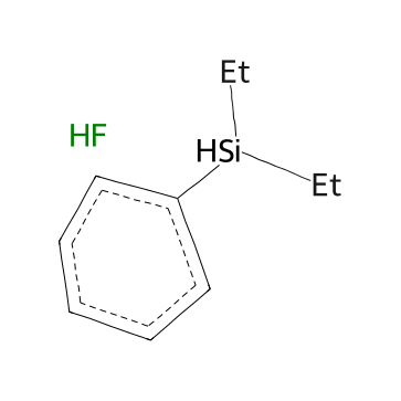 CC[SiH](CC)c1ccccc1.F